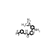 CCN(CC)c1ccc(N)c(C2CC(C(=O)NCc3cccc(C(F)(F)F)c3)=CC=N2)c1